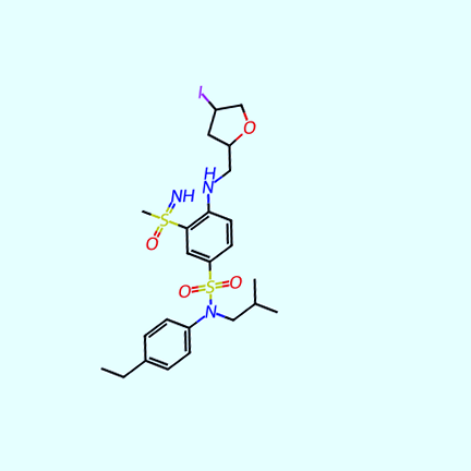 CCc1ccc(N(CC(C)C)S(=O)(=O)c2ccc(NCC3CC(I)CO3)c(S(C)(=N)=O)c2)cc1